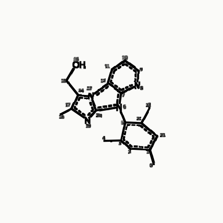 Cc1cc(C)c(-n2c3ncccc3n3c(CO)c(C)nc23)c(C)c1